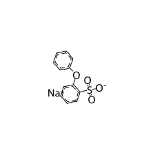 O=S(=O)([O-])c1ccccc1Oc1ccccc1.[Na+]